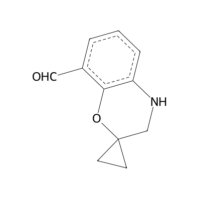 O=Cc1cccc2c1OC1(CC1)CN2